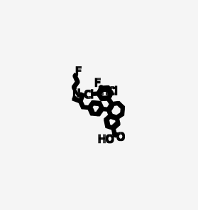 Cl.O=C(O)c1ccc2c(c1)CCCC(c1ccc(F)c(Cl)c1)=C2c1ccc(CC2CN(CCCF)C2)cc1